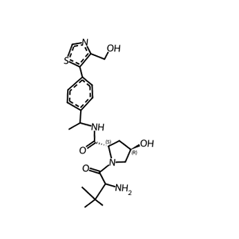 CC(NC(=O)[C@@H]1C[C@@H](O)CN1C(=O)C(N)C(C)(C)C)c1ccc(-c2scnc2CO)cc1